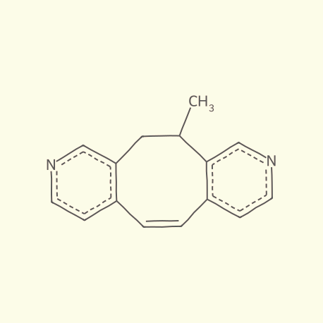 CC1Cc2cnccc2/C=C\c2ccncc21